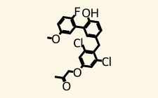 COc1ccc(F)c(-c2cc(Cc3c(Cl)cc(OCC(C)=O)cc3Cl)ccc2O)c1